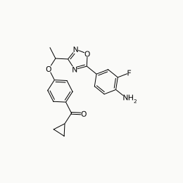 CC(Oc1ccc(C(=O)C2CC2)cc1)c1noc(-c2ccc(N)c(F)c2)n1